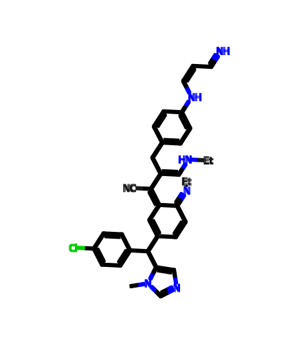 CC/N=C1/C=CC(C(c2ccc(Cl)cc2)c2cncn2C)=C/C1=C(C#N)/C(=C/NCC)Cc1ccc(N/C=C\C=N)cc1